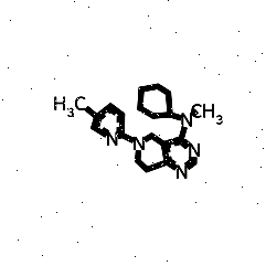 Cc1ccc(N2CCc3ncnc(N(C)C4CCCCC4)c3C2)nc1